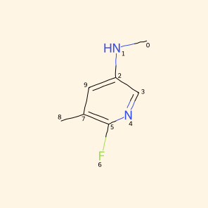 CNc1cnc(F)c(C)c1